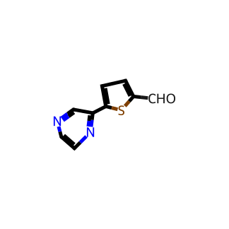 O=Cc1ccc(-c2cnccn2)s1